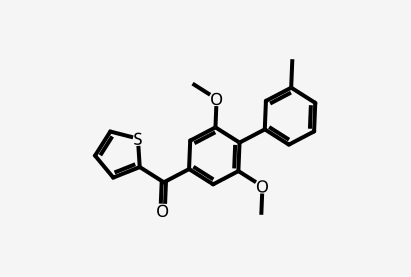 COc1cc(C(=O)c2cccs2)cc(OC)c1-c1cccc(C)c1